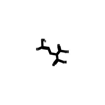 C/C(Cl)=C/CC(C(=O)O)C(=O)O